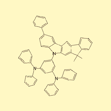 CC1(C)c2ccccc2-c2cc3c4cc(-c5ccccc5)ccc4n(-c4cc(N(c5ccccc5)c5ccccc5)cc(N(c5ccccc5)c5ccccc5)c4)c3cc21